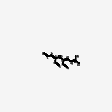 C=C/C=C(\C=C)O/C(C=C)=C/C=C(C)C